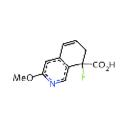 COc1cc2c(cn1)C(F)(C(=O)O)CC=C2